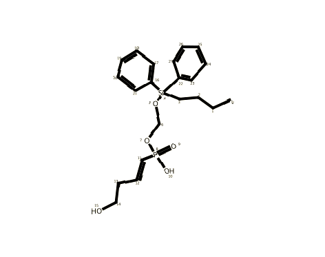 CCCC[Si](OCOP(=O)(O)C=CCCO)(c1ccccc1)c1ccccc1